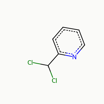 Cl[C](Cl)c1ccccn1